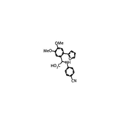 COc1cc(-c2ccco2)c(C(Nc2ccc(C#N)cc2)C(=O)O)cc1OC